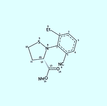 CCc1cccc(C#N)c1N1SCC[C@H]1C(=O)OC